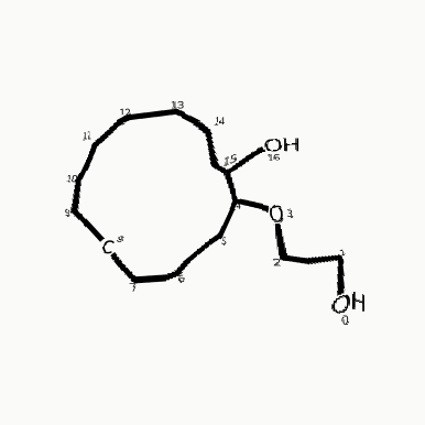 OCCOC1CCCCCCCCCCC1O